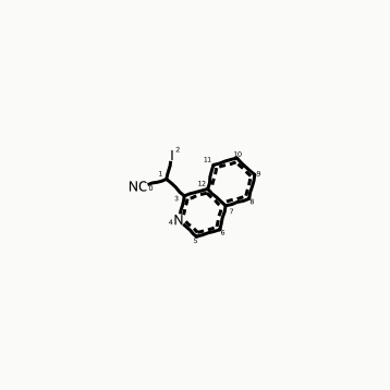 N#CC(I)c1nccc2ccccc12